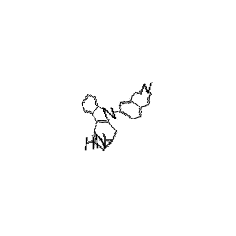 c1ccc2c(c1)c1c(n2-c2ccc3ccncc3c2)CC2CCC1N2